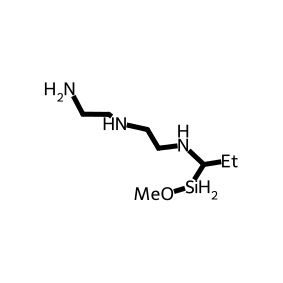 CCC(NCCNCCN)[SiH2]OC